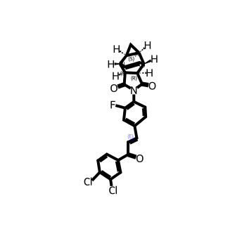 O=C(/C=C/c1ccc(N2C(=O)[C@@H]3[C@@H]4C=C[C@@H]([C@H]5C[C@@H]45)[C@@H]3C2=O)c(F)c1)c1ccc(Cl)c(Cl)c1